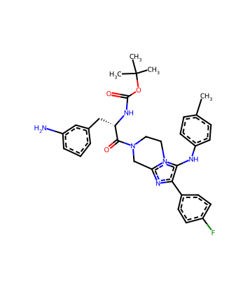 Cc1ccc(Nc2c(-c3ccc(F)cc3)nc3n2CCN(C(=O)[C@H](Cc2cccc(N)c2)NC(=O)OC(C)(C)C)C3)cc1